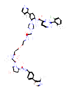 COc1cccc(F)c1-c1nccc(C(=O)Nc2ccc(-c3cnccc3C#N)cc2N2CCN(CC(=O)NCCOCCC(=O)N[C@H](C(=O)N3C[C@H](O)C[C@H]3C(=O)NCc3ccc(-c4scnc4C)cc3)C(C)(C)C)CC2)n1